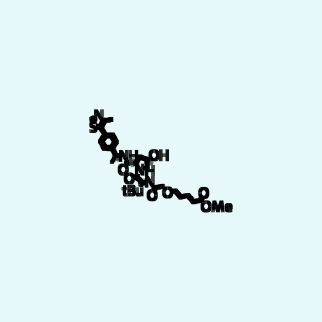 COC(=O)CCCCOCC(=O)N[C@H](C(=O)N1C[C@H](O)C[C@H]1C(=O)N[C@@H](C)c1ccc(-c2scnc2C)cc1)C(C)(C)C